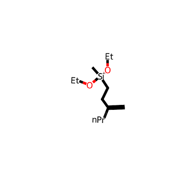 C=C(CCC)CC[Si](C)(OCC)OCC